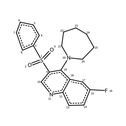 O=S(=O)(c1ccccc1)c1cnc2ccc(F)cc2c1N1CCCCCC1